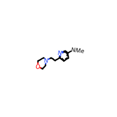 CNc1ccc(CCN2CCOCC2)nc1